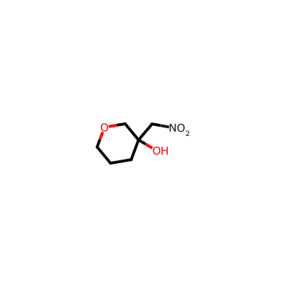 O=[N+]([O-])CC1(O)CCCOC1